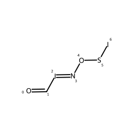 O=C/I=N/OSI